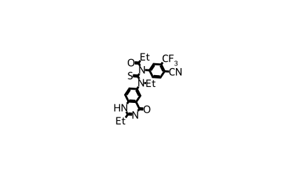 CCC(=O)N(C(=S)N(CC)c1ccc2[nH]c(CC)nc(=O)c2c1)c1ccc(C#N)c(C(F)(F)F)c1